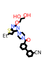 CCc1cc2c(N3CCN(C(=O)c4cccc(-c5cccc(C#N)c5)c4)CC3)nc(OC[C@H](O)CO)nc2s1